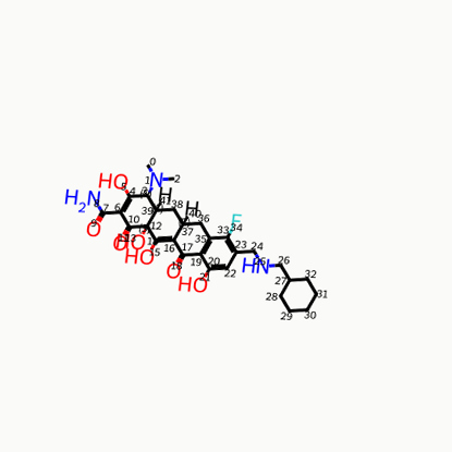 CN(C)[C@@H]1C(O)=C(C(N)=O)C(=O)[C@@]2(O)C(O)=C3C(=O)c4c(O)cc(CNCC5CCCCC5)c(F)c4C[C@H]3C[C@@H]12